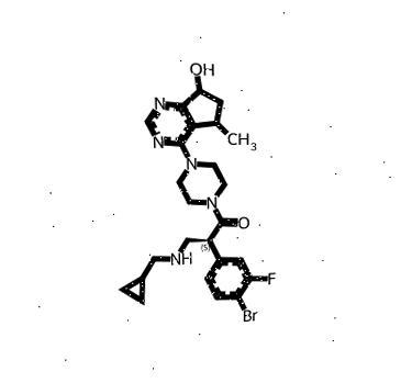 CC1CC(O)c2ncnc(N3CCN(C(=O)[C@H](CNCC4CC4)c4ccc(Br)c(F)c4)CC3)c21